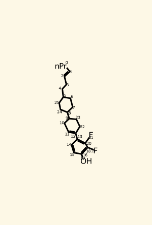 CCC/C=C/CCC1CCC(C2CC=C(c3ccc(O)c(F)c3F)CC2)CC1